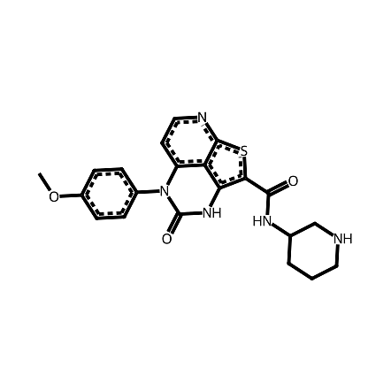 COc1ccc(N2C(=O)Nc3c(C(=O)NC4CCCNC4)sc4nccc2c34)cc1